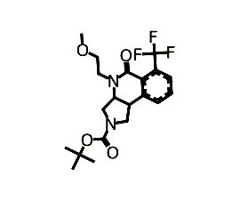 COCCN1C(=O)c2c(cccc2C(F)(F)F)C2CN(C(=O)OC(C)(C)C)CC21